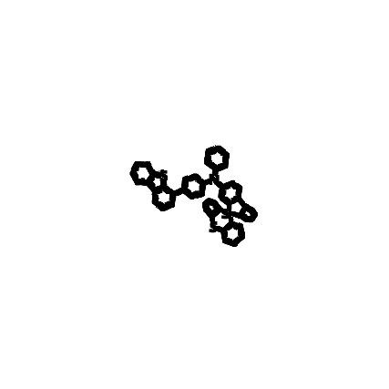 c1ccc(N(c2ccc(-c3cccc4c3sc3ccccc34)cc2)c2ccc3c(c2)[Si]2(c4ccccc4Sc4ccccc42)c2ccccc2-3)cc1